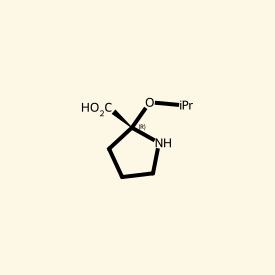 CC(C)O[C@@]1(C(=O)O)CCCN1